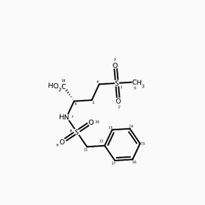 CS(=O)(=O)CC[C@H](NS(=O)(=O)Cc1ccccc1)C(=O)O